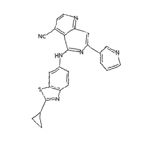 N#Cc1ccnc2cc(-c3cccnc3)nc(Nc3ccc4nc(C5CC5)sc4c3)c12